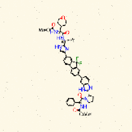 COC(=O)N[C@H](C(=O)N[C@H](c1nc(-c2ccc3c(c2)C(F)(F)c2cc(-c4ccc5nc([C@@H]6CCCN6C(=O)[C@H](NC(=O)OC)c6ccccc6)[nH]c5c4)ccc2-3)c[nH]1)C(C)C)C1CCOCC1